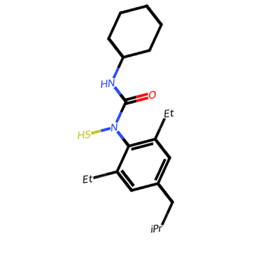 CCc1cc(CC(C)C)cc(CC)c1N(S)C(=O)NC1CCCCC1